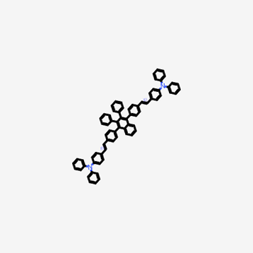 C(=C\c1ccc(N(c2ccccc2)c2ccccc2)cc1)/c1ccc(-c2c(-c3ccccc3)c(-c3ccccc3)c(-c3ccc(/C=C/c4ccc(N(c5ccccc5)c5ccccc5)cc4)cc3)c3ccccc23)cc1